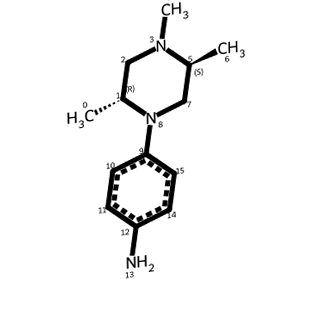 C[C@@H]1CN(C)[C@@H](C)CN1c1ccc(N)cc1